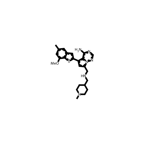 COc1cc(C)cc2cc(-c3cc(CNCC4CCN(C)CC4)n4ncnc(N)c34)sc12